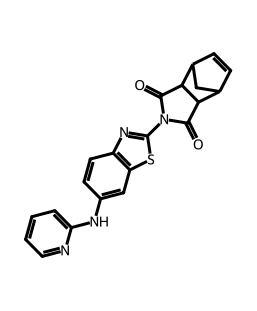 O=C1C2C3C=CC(C3)C2C(=O)N1c1nc2ccc(Nc3ccccn3)cc2s1